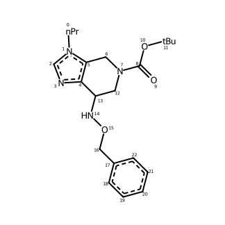 CCCn1cnc2c1CN(C(=O)OC(C)(C)C)CC2NOCc1ccccc1